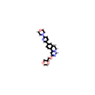 C1=C2c3ccc(-c4ccc(N5CCOCC5)nc4)cc3CCN2CN=C1OCC1COCCO1